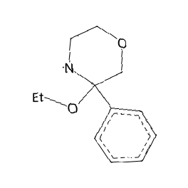 CCOC1(c2ccccc2)COCC[N]1